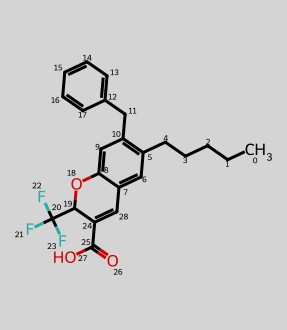 CCCCCc1cc2c(cc1Cc1ccccc1)OC(C(F)(F)F)C(C(=O)O)=C2